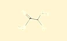 COC(=O)C(NC(C)=O)C(C)=O